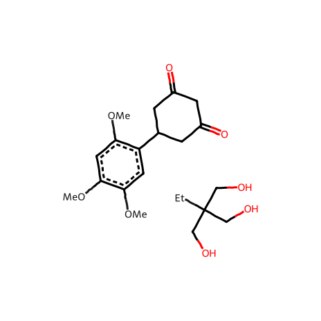 CCC(CO)(CO)CO.COc1cc(OC)c(C2CC(=O)CC(=O)C2)cc1OC